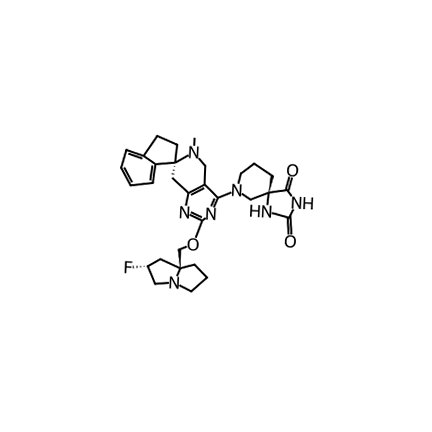 CN1Cc2c(nc(OC[C@@]34CCCN3C[C@H](F)C4)nc2N2CCC[C@]3(C2)NC(=O)NC3=O)C[C@]12CCc1ccccc12